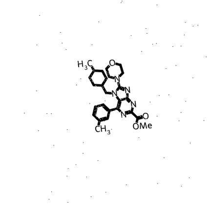 COC(=O)c1nc(-c2cccc(C)c2)c2c(n1)nc(N1CCOCC1)n2CC1CCC(C)CC1